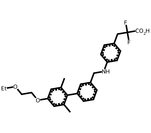 CCOCCOc1cc(C)c(-c2cccc(CNc3ccc(CC(F)(F)C(=O)O)cc3)c2)c(C)c1